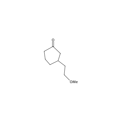 COCCC1CCCC(=O)C1